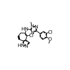 COc1ccc(-c2nc(NC3=C(Cl)c4cn[nH]c4C#CC3)n(C)n2)cc1Cl